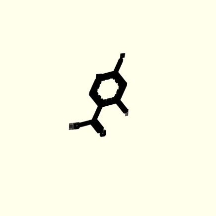 O=C(O)c1cnc(F)cc1I